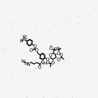 COC(=O)C1O[C@@H](Oc2ccc(COC(=O)Oc3ccc([N+](=O)[O-])cc3)cc2NC(=O)CCCN=[N+]=[N-])[C@H](OC(C)=O)[C@@H](OC(C)=O)[C@@H]1OC(C)=O